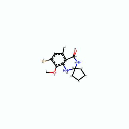 COc1c(Br)cc(C)c2c1NC1(CCCC1)NC2=O